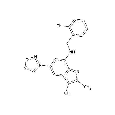 Cc1nc2c(NCc3ccccc3Cl)cc(-n3cncn3)cn2c1C